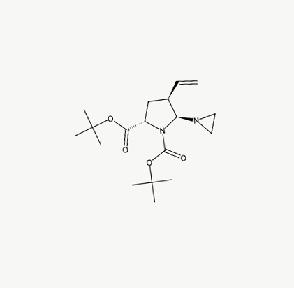 C=C[C@@H]1C[C@@H](C(=O)OC(C)(C)C)N(C(=O)OC(C)(C)C)[C@@H]1N1CC1